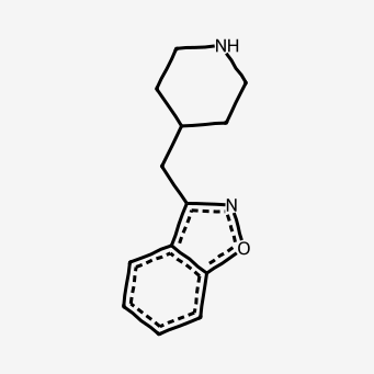 c1ccc2c(CC3CCNCC3)noc2c1